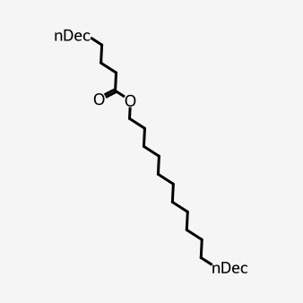 CCCCCCCCCCCCCCCCCCCCCOC(=O)CCCCCCCCCCCCC